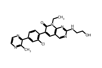 CCn1c(=O)c(-c2ccc(-c3nccnc3C)cc2Cl)cc2cnc(NCCO)nc21